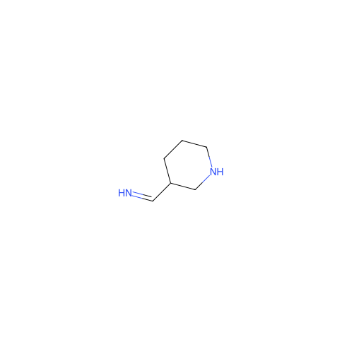 N=CC1CCCNC1